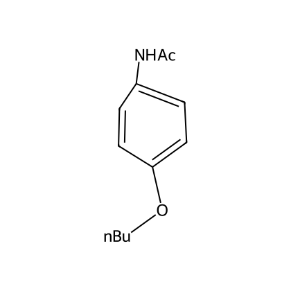 CCCCOc1ccc(NC(C)=O)cc1